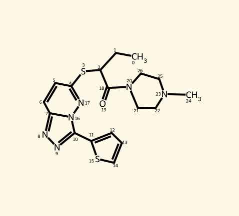 CCC(Sc1ccc2nnc(-c3cccs3)n2n1)C(=O)N1CCN(C)CC1